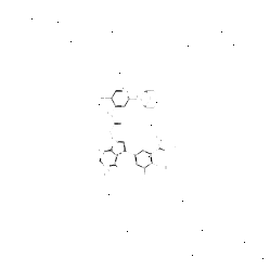 Cn1cnc2c(c(-c3cc(Cl)c(O)c(C(N)=O)c3)cn2CC(=O)Nc2cc(N3C4COCC3C4)ncc2Cl)c1=O